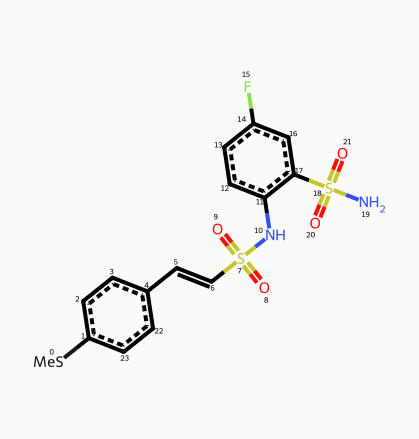 CSc1ccc(C=CS(=O)(=O)Nc2ccc(F)cc2S(N)(=O)=O)cc1